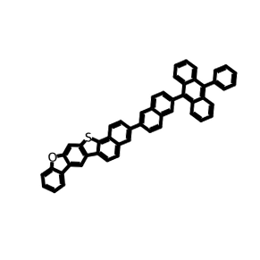 c1ccc(-c2c3ccccc3c(-c3ccc4cc(-c5ccc6c(ccc7c8cc9c(cc8sc67)oc6ccccc69)c5)ccc4c3)c3ccccc23)cc1